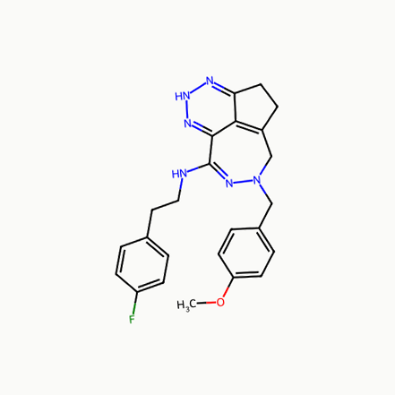 COc1ccc(CN2CC3=C4C(=NNN=C4C(NCCc4ccc(F)cc4)=N2)CC3)cc1